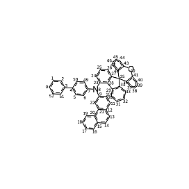 c1ccc(-c2ccc(N(c3ccc4ccc5ccccc5c4c3)c3cccc4c3-c3ccccc3C43c4ccccc4Oc4ccccc43)cc2)cc1